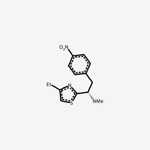 CCc1csc([C@H](Cc2ccc([N+](=O)[O-])cc2)NC)n1